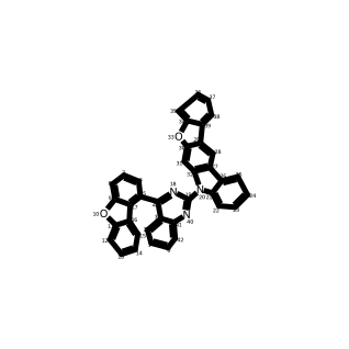 c1ccc2c(-c3cccc4oc5ccccc5c34)nc(-n3c4ccccc4c4cc5c(cc43)oc3ccccc35)nc2c1